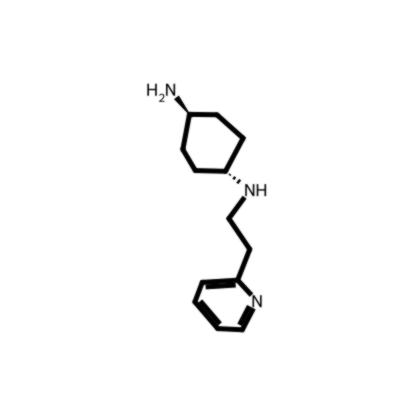 N[C@H]1CC[C@H](NCCc2ccccn2)CC1